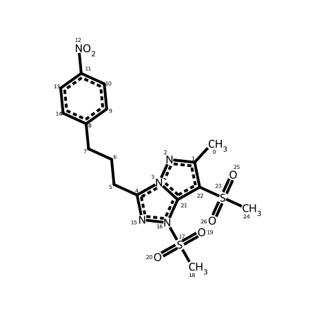 Cc1nn2c(CCCc3ccc([N+](=O)[O-])cc3)nn(S(C)(=O)=O)c2c1S(C)(=O)=O